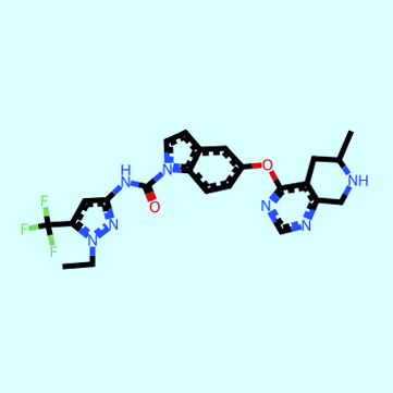 CCn1nc(NC(=O)n2ccc3cc(Oc4ncnc5c4CC(C)NC5)ccc32)cc1C(F)(F)F